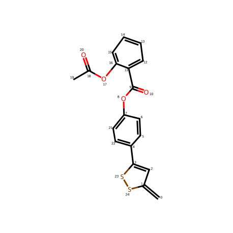 C=C1C=C(c2ccc(OC(=O)c3ccccc3OC(C)=O)cc2)SS1